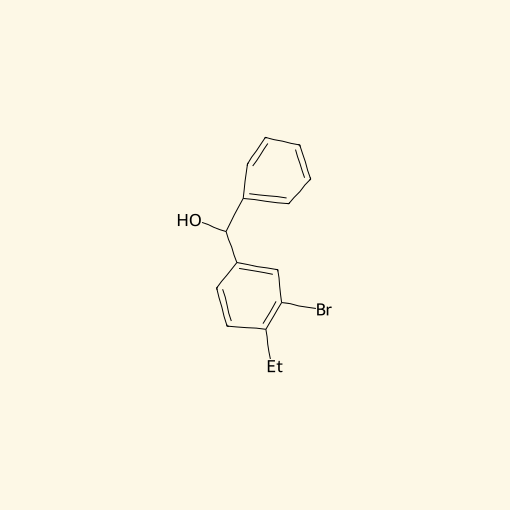 CCc1ccc(C(O)c2ccccc2)cc1Br